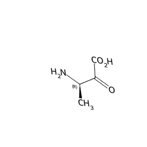 C[C@@H](N)C(=O)C(=O)O